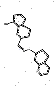 Oc1cccc2ccc(/C=N\Nc3ccc4cccnc4c3)nc12